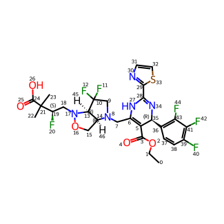 CCOC(=O)C1=C(CN2CC(F)(F)[C@H]3[C@@H]2CON3C[C@@H](F)C(C)(C)C(=O)O)NC(c2nccs2)=N[C@H]1c1ccc(F)c(F)c1F